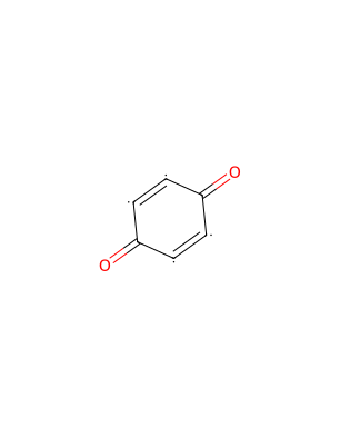 O=C1[C]=[C]C(=O)[C]=[C]1